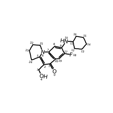 O=c1c(CO)c2n(c3cc(NC4CCCCC4)c(F)cc13)CCCC2